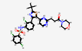 CC(C)(C)c1nc(-c2cccc(NS(=O)(=O)c3cc(F)ccc3F)c2F)c(-c2ccnc(CCC(=O)N3CCOCC3)n2)s1